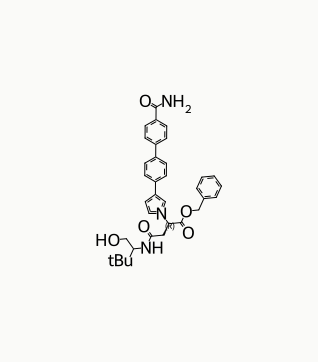 CC(C)(C)C(CO)NC(=O)C[C@H](C(=O)OCc1ccccc1)n1ccc(-c2ccc(-c3ccc(C(N)=O)cc3)cc2)c1